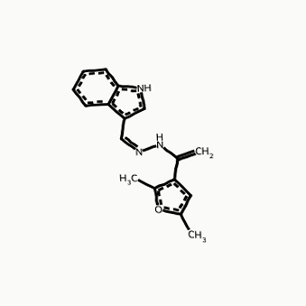 C=C(N/N=C\c1c[nH]c2ccccc12)c1cc(C)oc1C